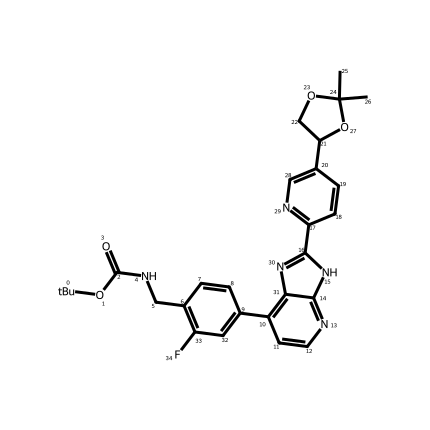 CC(C)(C)OC(=O)NCc1ccc(-c2ccnc3[nH]c(-c4ccc(C5COC(C)(C)O5)cn4)nc23)cc1F